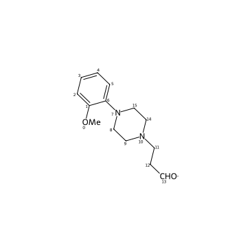 COc1ccccc1N1CCN(CC[C]=O)CC1